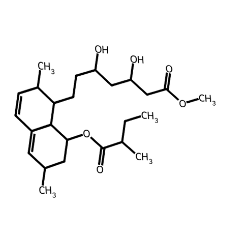 CCC(C)C(=O)OC1CC(C)C=C2C=CC(C)C(CCC(O)CC(O)CC(=O)OC)C21